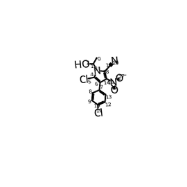 CC(O)n1c(Cl)c(-c2ccc(Cl)cc2)c([N+](=O)[O-])c1C#N